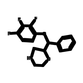 Fc1ccc(OC(c2ccccc2)C2CNCCO2)c(F)c1F